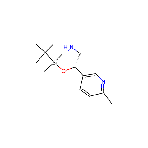 Cc1ccc([C@@H](CN)O[Si](C)(C)C(C)(C)C)cn1